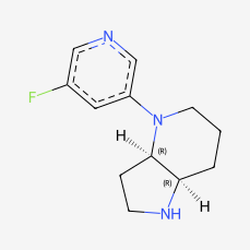 Fc1cncc(N2CCC[C@H]3NCC[C@H]32)c1